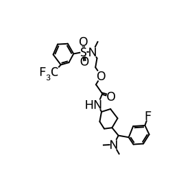 CN(C)C(c1cccc(F)c1)C1CCC(NC(=O)COCCN(C)S(=O)(=O)c2cccc(C(F)(F)F)c2)CC1